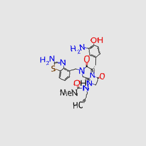 C#CCN(C(=O)NC)N1CC(=O)N2[C@@H](Cc3ccc(O)c(N)c3)C(=O)N(Cc3cccc4sc(N)nc34)C[C@@H]21